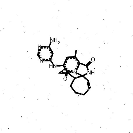 Cc1cc(Nc2cc(N)ncn2)c(=O)n2c1C(=O)NC21C=CCCCC1C1CC1